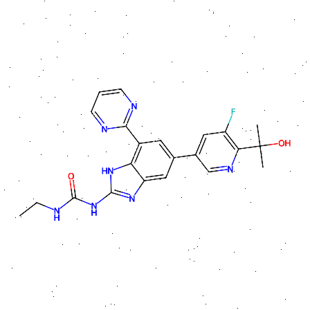 CCNC(=O)Nc1nc2cc(-c3cnc(C(C)(C)O)c(F)c3)cc(-c3ncccn3)c2[nH]1